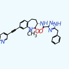 CN1C(=O)[C@@H](NC(=O)c2n[nH]c(Cc3ccccc3)n2)CCc2ccc(C#Cc3cccnc3)cc21